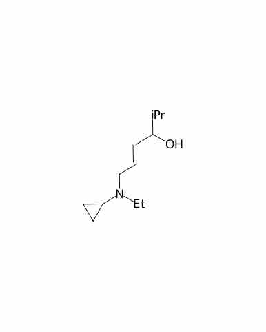 CCN(C/C=C/C(O)C(C)C)C1CC1